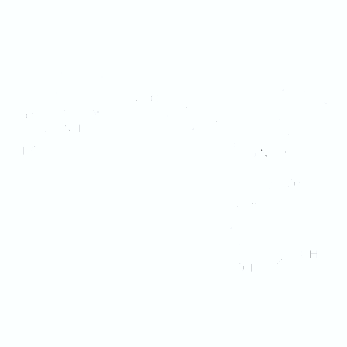 CC(=O)Nc1cccc(CCOCCCCCCN(CC(=O)c2ccc(O)c(CO)c2)Cc2ccccc2)c1